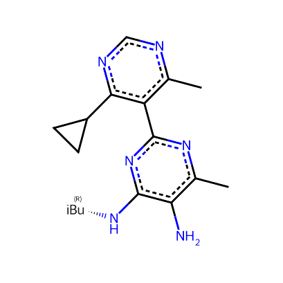 CC[C@@H](C)Nc1nc(-c2c(C)ncnc2C2CC2)nc(C)c1N